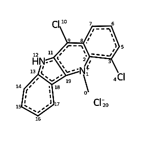 C[n+]1c2c(Cl)cccc2c(Cl)c2[nH]c3ccccc3c21.[Cl-]